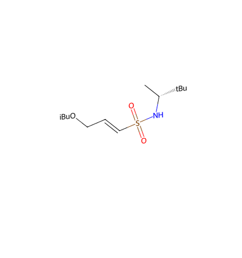 CC(C)COC/C=C/S(=O)(=O)N[C@H](C)C(C)(C)C